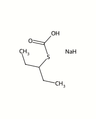 CCC(CC)SC(=O)O.[NaH]